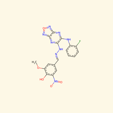 COc1cc(C=NNc2nc3nonc3nc2Nc2ccccc2F)cc([N+](=O)[O-])c1O